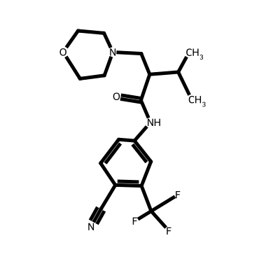 CC(C)C(CN1CCOCC1)C(=O)Nc1ccc(C#N)c(C(F)(F)F)c1